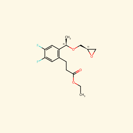 CCOC(=O)CCc1cc(F)c(F)cc1[C@@H](C)OC[C@H]1CO1